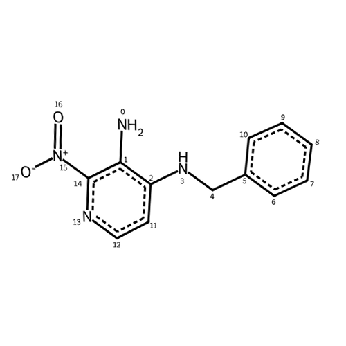 Nc1c(NCc2ccccc2)ccnc1[N+](=O)[O-]